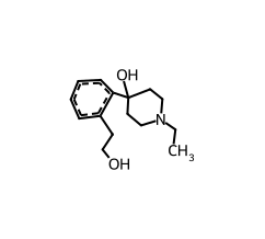 CCN1CCC(O)(c2ccccc2CCO)CC1